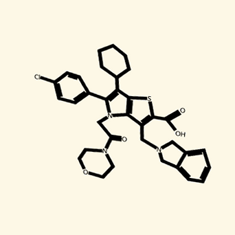 O=C(O)c1sc2c(C3CCCCC3)c(-c3ccc(Cl)cc3)n(CC(=O)N3CCOCC3)c2c1CN1Cc2ccccc2C1